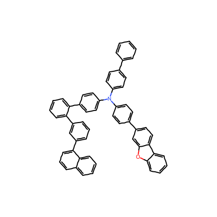 c1ccc(-c2ccc(N(c3ccc(-c4ccc5c(c4)oc4ccccc45)cc3)c3ccc(-c4ccccc4-c4cccc(-c5cccc6ccccc56)c4)cc3)cc2)cc1